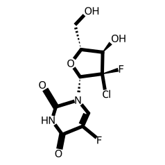 O=c1[nH]c(=O)n([C@@H]2O[C@H](CO)[C@@H](O)[C@]2(F)Cl)cc1F